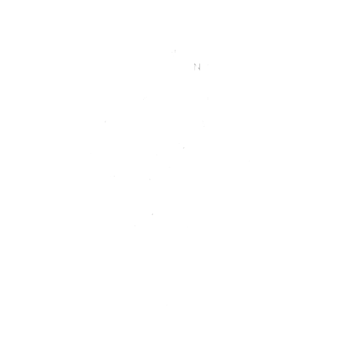 C1=CC2Cc3cc4c(cc3C2C=C1)-c1ccccc1C41c2ccccc2-c2ccncc21